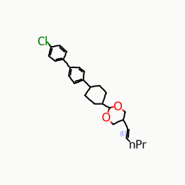 CCC/C=C/C1COC(C2CCC(c3ccc(-c4ccc(Cl)cc4)cc3)CC2)OC1